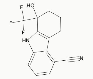 N#Cc1cccc2[nH]c3c(c12)CCCC3(O)C(F)(F)F